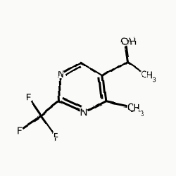 Cc1nc(C(F)(F)F)ncc1C(C)O